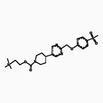 C[Si](C)(C)CCOC(=O)N1CCC(c2cnc(COc3ccc(S(C)(=O)=O)cc3)nc2)CC1